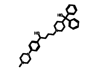 CN1CCN(c2ccc(C(O)CCCN3CCC(C(O)(c4ccccc4)c4ccccc4)CC3)cc2)CC1